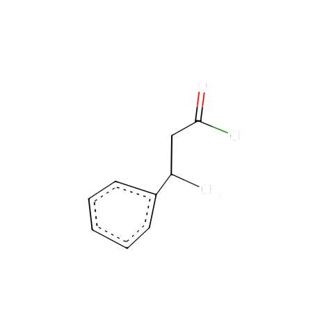 O=C(Cl)CC(c1ccccc1)C(F)(F)F